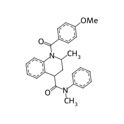 COc1ccc(C(=O)N2c3ccccc3C(C(=O)N(C)c3ccccc3)CC2C)cc1